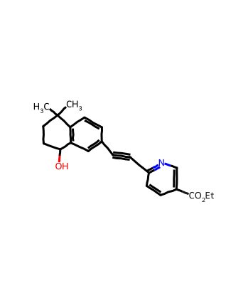 CCOC(=O)c1ccc(C#Cc2ccc3c(c2)C(O)CCC3(C)C)nc1